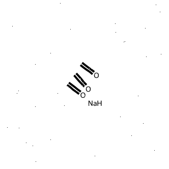 C=O.C=O.C=O.[NaH]